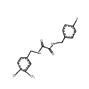 O=C(NCc1ccc(F)cc1)C(=O)NCc1ccc(Cl)c(C(F)(F)F)c1